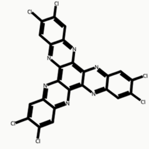 Clc1cc2nc3c4nc5cc(Cl)c(Cl)cc5nc4c4nc5cc(Cl)c(Cl)cc5nc4c3nc2cc1Cl